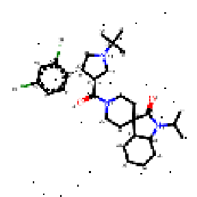 CC(C)N1C(=O)C2(CCN(C(=O)[C@@H]3CN(C(C)(C)C)C[C@H]3c3ccc(F)cc3F)CC2)C2CCCCC21